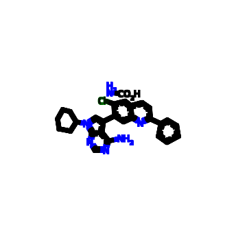 NC(=O)O.Nc1ncnc2c1c(-c1cc3nc(-c4ccccc4)ccc3cc1Cl)cn2C1CCCCC1